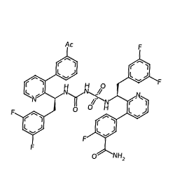 CC(=O)c1cccc(-c2cccnc2[C@H](Cc2cc(F)cc(F)c2)NC(=O)NS(=O)(=O)N[C@@H](Cc2cc(F)cc(F)c2)c2ncccc2-c2ccc(F)c(C(N)=O)c2)c1